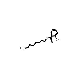 CCCCCCCCOC(=O)c1ccccc1O